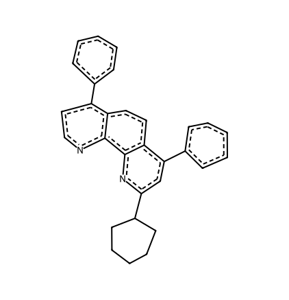 c1ccc(-c2ccnc3c2ccc2c(-c4ccccc4)cc(C4CCCCC4)nc23)cc1